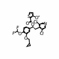 COc1ccsc1C(=O)O[C@@H](Cc1c(Cl)cncc1Cl)c1ccc(OC(F)F)c(OCC2CC2)c1